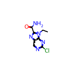 CCn1c(C(N)=O)nc2cnc(Cl)nc21